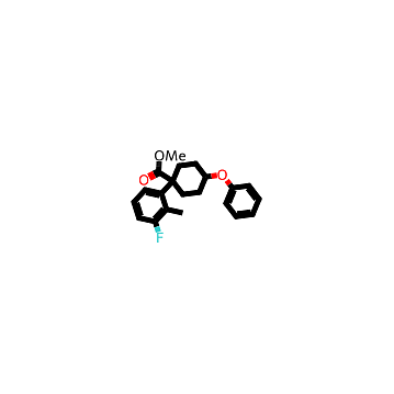 COC(=O)C1(c2cccc(F)c2C)CCC(Oc2ccccc2)CC1